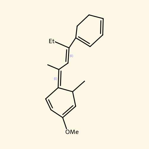 CC/C(=C\C(C)=C1\C=CC(OC)=CC1C)C1=CC=CCC1